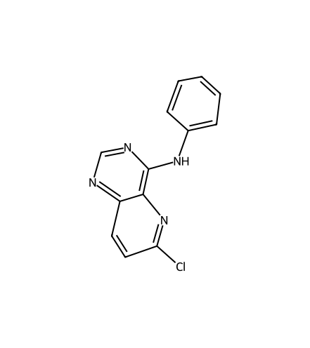 Clc1ccc2ncnc(Nc3ccccc3)c2n1